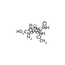 Cc1cccc(NC(=O)N2Cc3[nH]c4ccccc4c3C[C@@H]2C(=O)N2CCC[C@H]2C(=O)N[C@@H](CC(=O)O)C(N)=O)c1